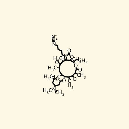 CCC1OC(=O)C(C)C(=O)C(C)[C@@H](OC2CC(N(C)C)CC(C)O2)C(C)C[C@@H](C)C(=O)[C@H](C)[C@H]2N(CCCCN=[N+]=[N-])C(=O)O[C@]12C